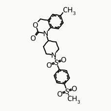 Cc1ccc2c(c1)COC(=O)N2C1CCN(S(=O)(=O)c2ccc(S(C)(=O)=O)cc2)CC1